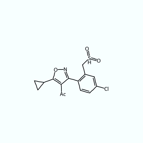 CC(=O)c1c(-c2ccc(Cl)cc2C[SH](=O)=O)noc1C1CC1